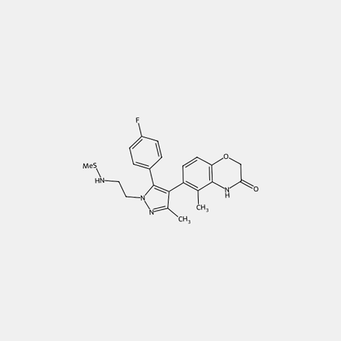 CSNCCn1nc(C)c(-c2ccc3c(c2C)NC(=O)CO3)c1-c1ccc(F)cc1